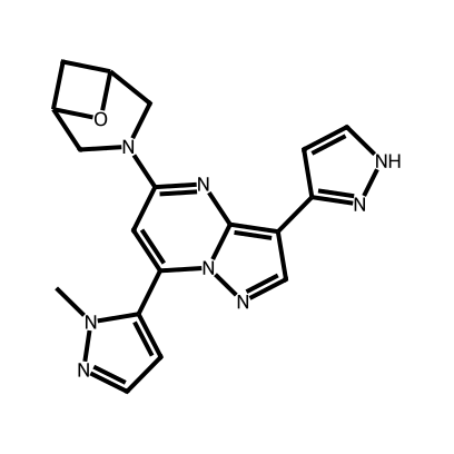 Cn1nccc1-c1cc(N2CC3CC(C2)O3)nc2c(-c3cc[nH]n3)cnn12